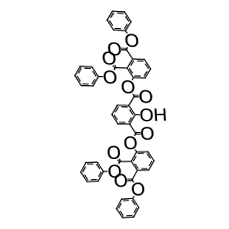 O=C(Oc1cccc(C(=O)Oc2ccccc2)c1C(=O)Oc1ccccc1)c1cccc(C(=O)Oc2cccc(C(=O)Oc3ccccc3)c2C(=O)Oc2ccccc2)c1O